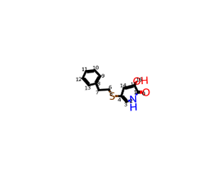 O=c1[nH]cc(SCCc2ccccc2)cc1O